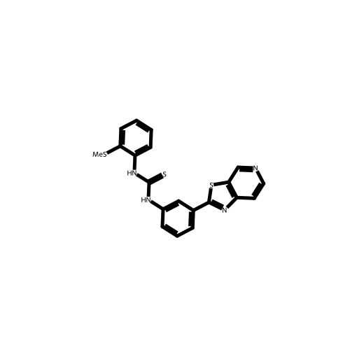 CSc1ccccc1NC(=S)Nc1cccc(-c2nc3ccncc3s2)c1